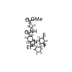 CCn1c(-c2ccccc2-c2ccc(F)cc2F)nc2cc(C(=O)NC3CC(C(=O)OC)C3)ccc21